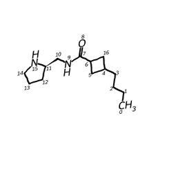 CCCCC1CC(C(=O)NC[C@H]2CCCN2)C1